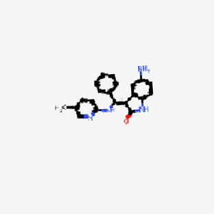 Cc1ccc(N/C(=C2\C(=O)Nc3ccc(N)cc32)c2ccccc2)nc1